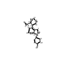 Fc1ccc(-n2ncc3c(-c4cncnc4C4CC4)ccnc32)cc1